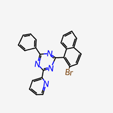 Brc1ccc2ccccc2c1-c1nc(-c2ccccc2)nc(-c2ccccn2)n1